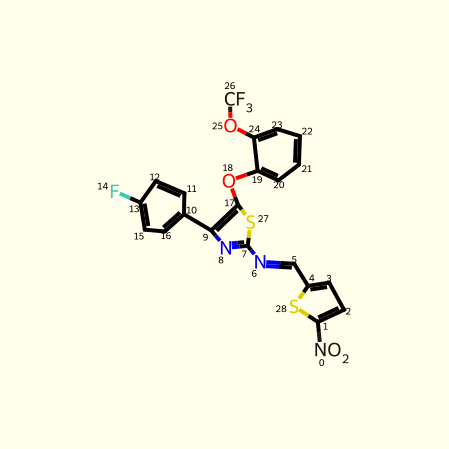 O=[N+]([O-])c1ccc(/C=N/c2nc(-c3ccc(F)cc3)c(Oc3ccccc3OC(F)(F)F)s2)s1